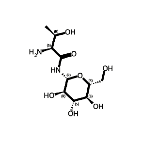 C[C@@H](O)[C@H](N)C(=O)N[C@@H]1O[C@H](CO)[C@@H](O)[C@H](O)[C@H]1O